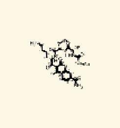 CCCCOC(=O)N[C@H](C(=O)N[C@@H](CC(C)C)C(=O)N[C@@H](CCCCN)C(=O)c1c(C)c2ccc(C(N)=O)cc2oc1=O)C(C)C